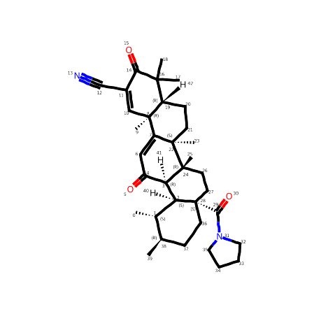 C[C@@H]1[C@H]2[C@H]3C(=O)C=C4[C@@]5(C)C=C(C#N)C(=O)C(C)(C)[C@@H]5CC[C@@]4(C)[C@]3(C)CC[C@@]2(C(=O)N2CCCC2)CC[C@H]1C